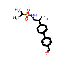 CC(CNS(=O)(=O)C(C)C)C1CC=C(c2ccc(C=O)cc2)CC1